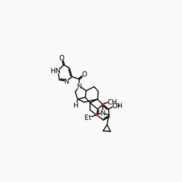 CCc1ccc(O)cc1C12CCN(CC3CC3)C(C)C13CCC1C2[C@@H](CN1C(=O)c1cc(=O)[nH]cn1)C3